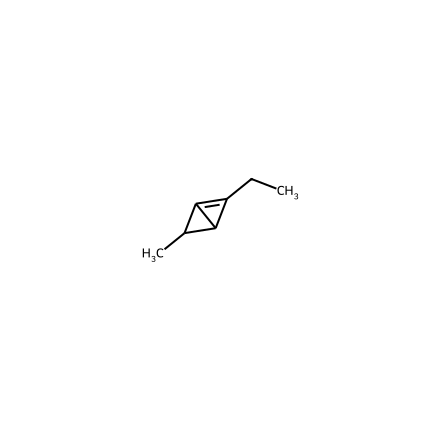 CCC1=C2C(C)C12